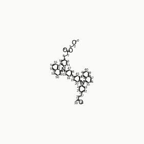 COCCOC(=O)CCc1ccc(N(c2ccc(-c3ccc(N(c4ccc(CCC(C)=O)cc4)c4cccc5ccccc45)cc3)cc2)c2cccc3ccccc23)cc1